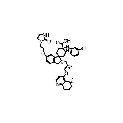 C[C@@H](COc1ccnc2c1[C@H](C)CCC2)C[C@H]1Cc2ccc(OCCN3CCNC3=O)cc2C12CCC(Nc1cccc(Cl)c1)(C(=O)O)CC2